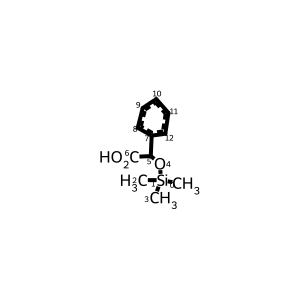 C[Si](C)(C)OC(C(=O)O)c1ccccc1